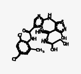 Cc1cc(Cl)cc(Cl)c1NC(=O)c1cnc(Nc2snc(O)c2C(=N)NC(O)CO)s1